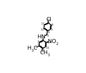 Cc1cc(NCc2ccc(Cl)cc2)c([N+](=O)[O-])cc1C